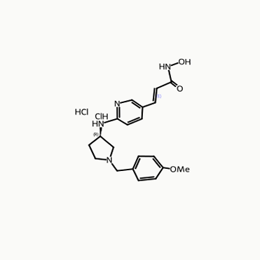 COc1ccc(CN2CC[C@@H](Nc3ccc(/C=C/C(=O)NO)cn3)C2)cc1.Cl.Cl